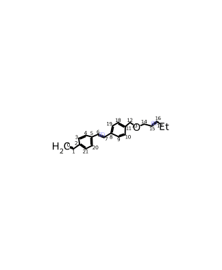 C=Cc1ccc(/C=C/c2ccc(COC/C=C/CC)cc2)cc1